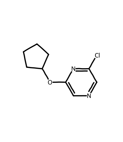 Clc1cncc(OC2CCCC2)n1